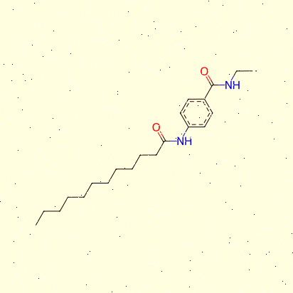 [CH2]CNC(=O)c1ccc(NC(=O)CCCCCCCCCCC)cc1